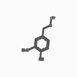 [CH2]CCOCc1ccc(O)c(OC)c1